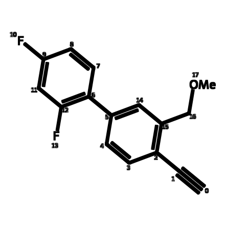 C#Cc1ccc(-c2ccc(F)cc2F)cc1COC